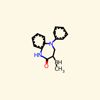 CBC1CN(c2ccccc2)c2ccccc2NC1=O